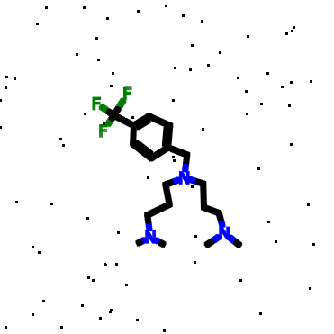 CN(C)CCCN(CCCN(C)C)Cc1ccc(C(F)(F)F)cc1